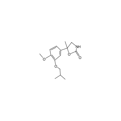 COc1ccc(C2(C)CNC(=O)O2)cc1OCC(C)C